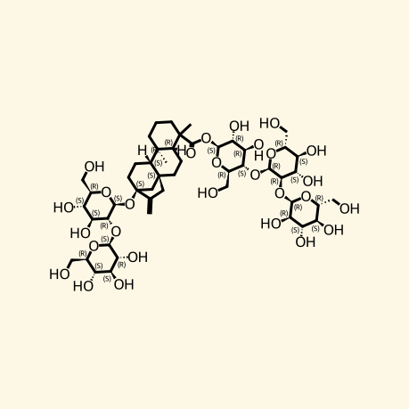 C=C1C[C@]23CC[C@H]4C(C)(C(=O)O[C@@H]5O[C@H](CO)[C@@H](O[C@H]6O[C@H](CO)[C@@H](O)[C@H](O)[C@H]6O[C@H]6O[C@H](CO)[C@@H](O)[C@H](O)[C@H]6O)[C@H](O)[C@H]5O)CCC[C@]4(C)[C@H]2CC[C@]1(O[C@@H]1O[C@H](CO)[C@@H](O)[C@H](O)[C@H]1O[C@@H]1O[C@H](CO)[C@@H](O)[C@H](O)[C@H]1O)C3